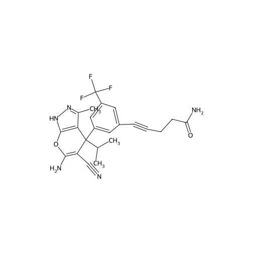 Cc1n[nH]c2c1C(c1cc(C#CCCC(N)=O)cc(C(F)(F)F)c1)(C(C)C)C(C#N)=C(N)O2